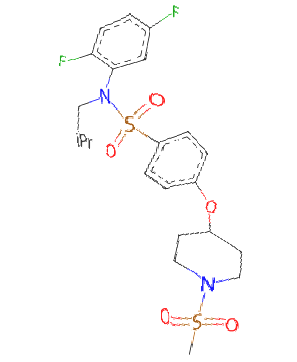 CC(C)CN(c1cc(F)ccc1F)S(=O)(=O)c1ccc(OC2CCN(S(C)(=O)=O)CC2)cc1